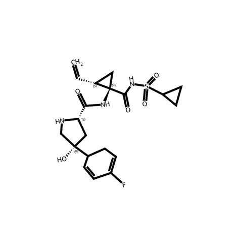 C=C[C@@H]1C[C@]1(NC(=O)[C@@H]1C[C@@](O)(C2C=CC(F)=CC2)CN1)C(=O)NS(=O)(=O)C1CC1